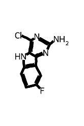 Nc1nc(Cl)c2[nH]c3ccc(F)cc3c2n1